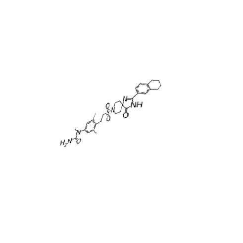 Cc1cc(N(C)C(N)=O)cc(C)c1CCS(=O)(=O)N1CCC2(CC1)N=C(c1ccc3c(c1)CCCC3)NC2=O